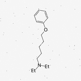 CCN(CC)CCCCCOc1cc[c]cc1